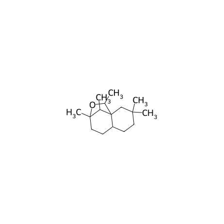 CC1OC2(C)CCC3CCC(C)(C)CC31C2C